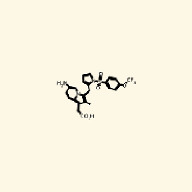 Cc1c(CC(=O)O)c2ccc(N)cn2c1Cc1cccn1S(=O)(=O)c1ccc(OC(F)(F)F)cc1